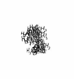 CC[C@H](C)C([C@@H](CC(=O)N1CCC[C@H]1[C@H](OC)[C@@H](C)C(=O)N[C@@H](Cc1ccccc1)C(=O)OC)OC)N(C)C(=O)[C@@H](NC(=O)C(C(C)C)N(C)Cc1ccnc(N)c1)C(C)C